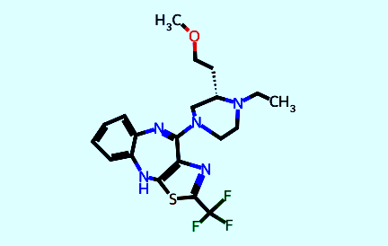 CCN1CCN(C2=Nc3ccccc3Nc3sc(C(F)(F)F)nc32)C[C@@H]1CCOC